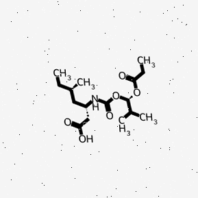 CCC(=O)O[C@@H](OC(=O)N[C@H](CC(=O)O)C[C@H](C)CC)C(C)C